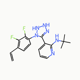 C=Cc1ccc(N2NNN=C2c2cccnc2NC(C)(C)C)c(F)c1F